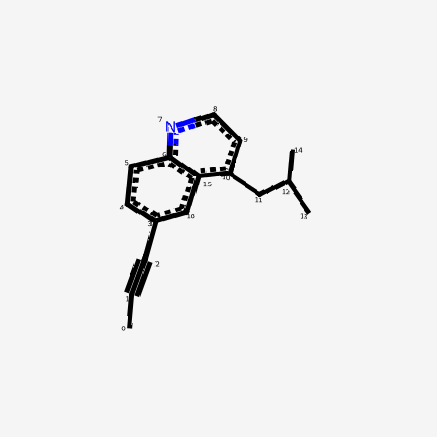 CC#Cc1ccc2nccc(CC(C)C)c2c1